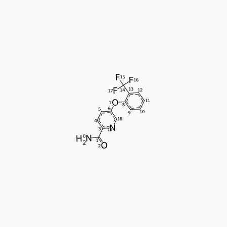 NC(=O)c1ccc(Oc2ccccc2C(F)(F)F)cn1